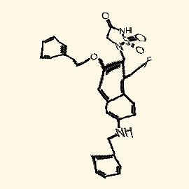 O=C1CN(c2c(OCc3ccccc3)cc3cc(NCc4ccccc4)ccc3c2F)S(=O)(=O)N1